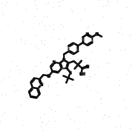 COc1ccc(-c2ccc(Cn3c(CC(C)(C)C(=O)O)c(SC(C)(C)C)c4cc(OCc5ccc6ccccc6n5)cnc43)cc2)cn1